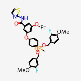 COc1ccc(CO[PH](C)(OCc2ccc(OC)c(F)c2)c2ccc(Oc3cc(OC(C)C)cc(C(=O)Nc4nccs4)c3)cc2)cc1F